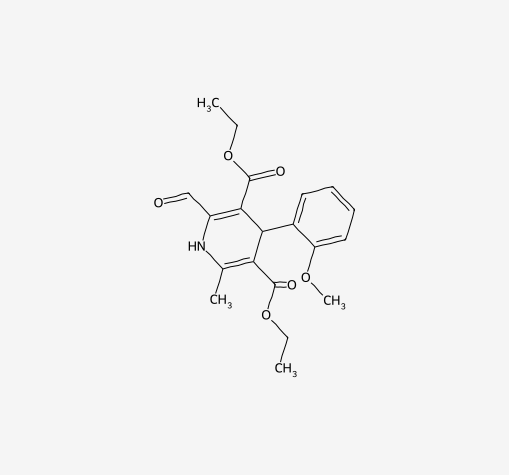 CCOC(=O)C1=C(C)NC(C=O)=C(C(=O)OCC)C1c1ccccc1OC